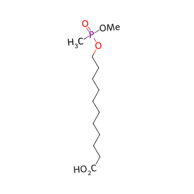 COP(C)(=O)OCCCCCCCCCCC(=O)O